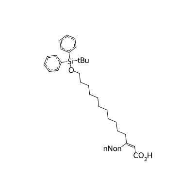 CCCCCCCCC/C(=C\C(=O)O)CCCCCCCCCCCO[Si](c1ccccc1)(c1ccccc1)C(C)(C)C